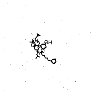 CC(=O)O[C@]12CC[C@@H](N(CC(C)C)C(=O)CCCCCc3ccccc3)C[C@]1(c1cccc(O)c1)CCN(CC1CC1)C2